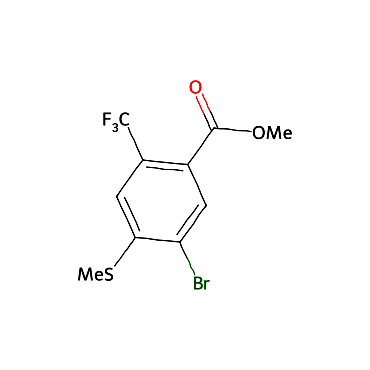 COC(=O)c1cc(Br)c(SC)cc1C(F)(F)F